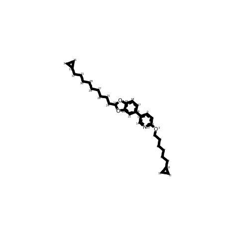 c1cc(OCCCCCCC2CC2)ncc1-c1ccc2c(c1)OC(CCCCCCCCCC1CC1)O2